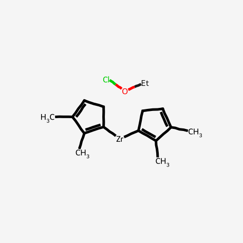 CC1=CC[C]([Zr][C]2=C(C)C(C)=CC2)=C1C.CCOCl